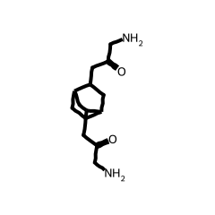 NCC(=O)CC1CC2CCC1CC2CC(=O)CN